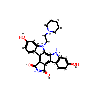 O=C1NC(=O)c2c1c1c3ccc(O)cc3[nH]c1c1c2c2ccc(O)cc2n1CCN1CCCCC1